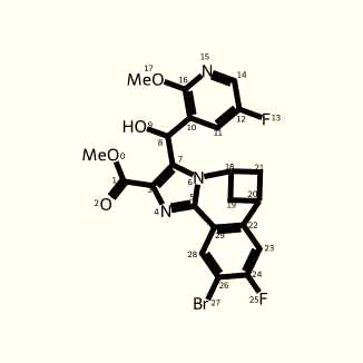 COC(=O)c1nc2n(c1C(O)c1cc(F)cnc1OC)C1CC(C1)c1cc(F)c(Br)cc1-2